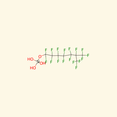 O[Si](O)(O)OC(F)(F)C(F)(F)C(F)(F)C(F)(F)C(F)(F)C(F)(C(F)(F)F)C(F)(F)F